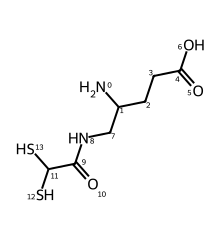 NC(CCC(=O)O)CNC(=O)C(S)S